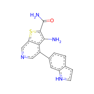 NC(=O)c1sc2cncc(-c3ccc4cc[nH]c4c3)c2c1N